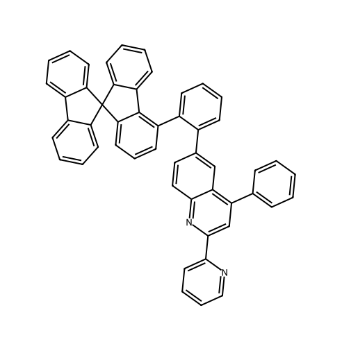 c1ccc(-c2cc(-c3ccccn3)nc3ccc(-c4ccccc4-c4cccc5c4-c4ccccc4C54c5ccccc5-c5ccccc54)cc23)cc1